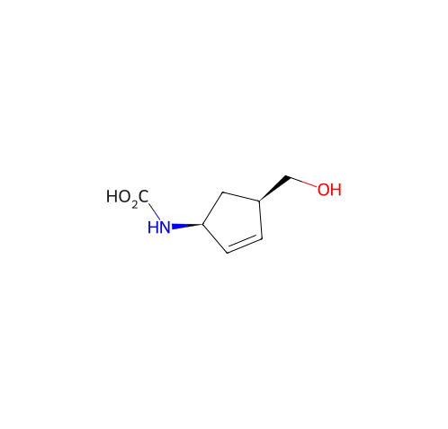 O=C(O)N[C@@H]1C=C[C@H](CO)C1